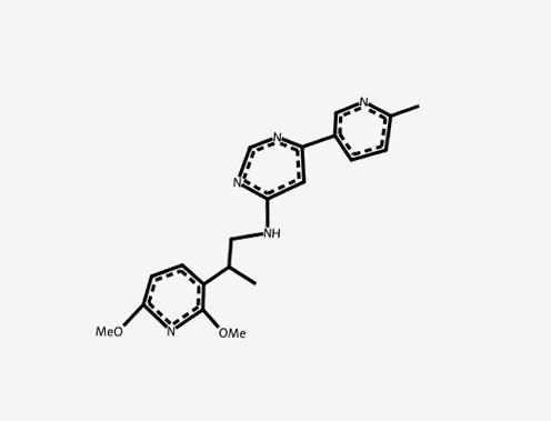 COc1ccc(C(C)CNc2cc(-c3ccc(C)nc3)ncn2)c(OC)n1